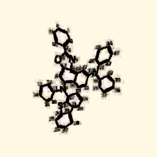 c1ccc(-c2nc3c(cc(N(c4ccccc4)c4cccc5c4sc4ccccc45)c4ccc(N(c5ccccc5)c5ccccc5)cc43)o2)cc1